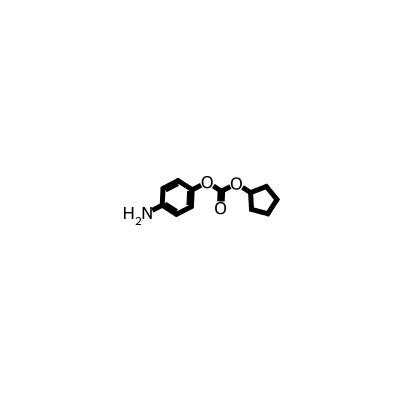 Nc1ccc(OC(=O)OC2CCCC2)cc1